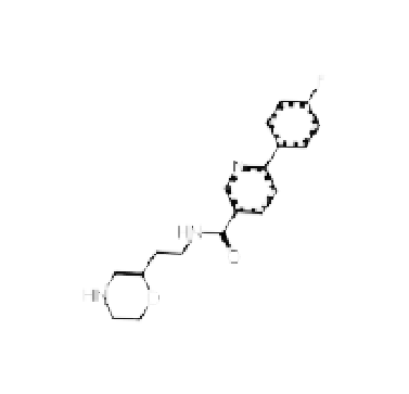 O=C(NCCC1CNCCO1)c1ccc(-c2ccc(F)cc2)nc1